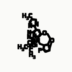 Cc1cnc(-c2cc3c(n4cnnc24)N(C(=O)OC(C)(C)C)Cc2c(F)ccc4c2CC(CO3)O4)nc1